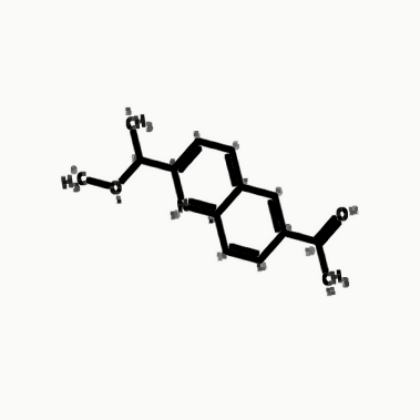 COC(C)c1ccc2cc(C(C)=O)ccc2n1